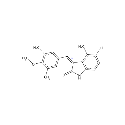 COc1c(C)cc(/C=C2\C(=O)Nc3ccc(Cl)c(C)c32)cc1C